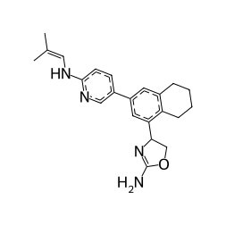 CC(C)=CNc1ccc(-c2cc3c(c(C4COC(N)=N4)c2)CCCC3)cn1